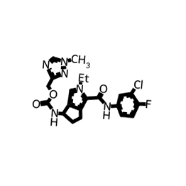 CCn1cc2c(c1C(=O)Nc1ccc(F)c(Cl)c1)CCC2NC(=O)OCc1ncn(C)n1